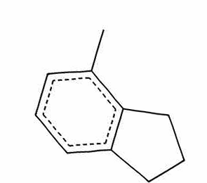 Cc1cccc2c1CC[C]2